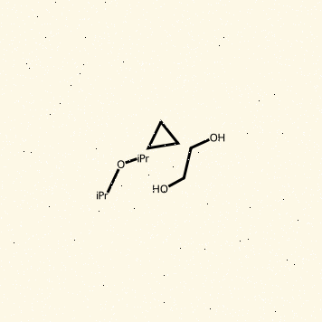 C1CC1.CC(C)OC(C)C.OCCO